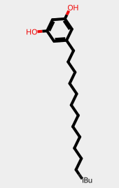 CCC(C)CCCCCCCCCCCCc1cc(O)cc(O)c1